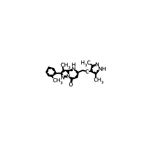 Cc1ccccc1-c1nn2c(=O)cc(CCc3c(C)n[nH]c3C)[nH]c2c1C